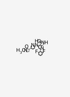 CN1CCC(c2ccc(Nc3cc(-c4c(F)cccc4F)nc4c3C(=O)NC4)nc2)C1=O